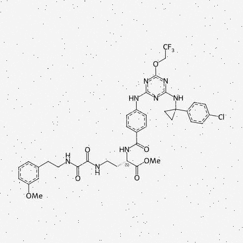 COC(=O)[C@H](CCNC(=O)C(=O)NCCc1cccc(OC)c1)NC(=O)c1ccc(Nc2nc(NC3(c4ccc(Cl)cc4)CC3)nc(OCC(F)(F)F)n2)cc1